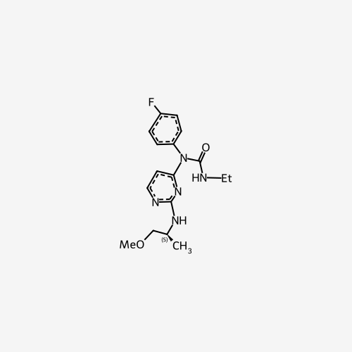 CCNC(=O)N(c1ccc(F)cc1)c1ccnc(N[C@@H](C)COC)n1